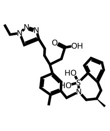 CCn1cc(CCC(CC(=O)O)c2ccc(C)c(CN3C[C@H](C)Cc4ccccc4S3(O)O)c2)nn1